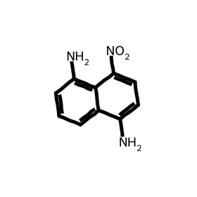 Nc1ccc([N+](=O)[O-])c2c(N)cccc12